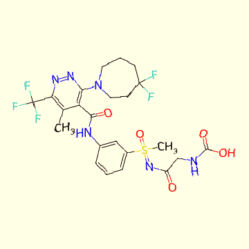 Cc1c(C(F)(F)F)nnc(N2CCCC(F)(F)CC2)c1C(=O)Nc1cccc(S(C)(=O)=NC(=O)CNC(=O)O)c1